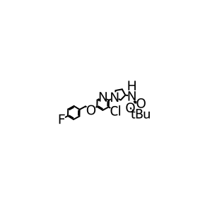 CC(C)(C)OC(=O)NC1CCN(c2ncc(OCc3ccc(F)cc3)cc2Cl)C1